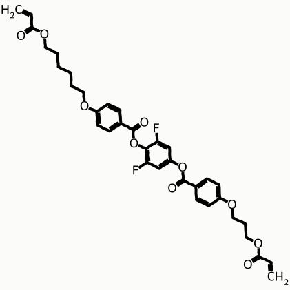 C=CC(=O)OCCCCCCOc1ccc(C(=O)Oc2c(F)cc(OC(=O)c3ccc(OCCCOC(=O)C=C)cc3)cc2F)cc1